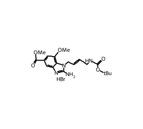 Br.COC(=O)c1cc(OC)c2c(c1)nc(N)n2CC=CCNC(=O)OC(C)(C)C